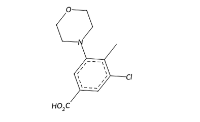 Cc1c(Cl)cc(C(=O)O)cc1N1CCOCC1